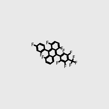 Fc1ccc(-c2c3c(F)cccc3c(-c3c(F)c(F)c(C(F)(F)F)c(F)c3F)c3c(F)ccc(F)c23)c(F)c1